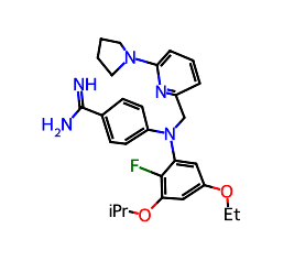 CCOc1cc(OC(C)C)c(F)c(N(Cc2cccc(N3CCCC3)n2)c2ccc(C(=N)N)cc2)c1